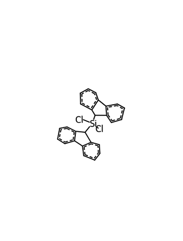 Cl[Si](Cl)(C1c2ccccc2-c2ccccc21)C1c2ccccc2-c2ccccc21